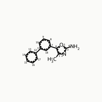 Cc1nc(N)oc1-c1cccc(-c2ccccc2)c1